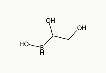 OBC(O)CO